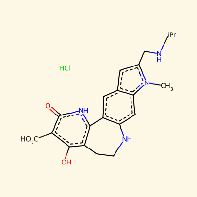 CC(C)NCc1cc2cc3c(cc2n1C)NCCc1c-3[nH]c(=O)c(C(=O)O)c1O.Cl